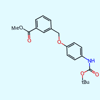 COC(=O)c1cccc(COc2ccc(NC(=O)OC(C)(C)C)cc2)c1